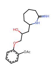 CC(=O)Oc1ccccc1OCC(O)CC1CCCCC(=N)N1